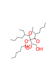 CCCCCC(=O)OC(C(=O)C(CC)CCCC)(C(=O)C(CC)CCCC)C(O)CO